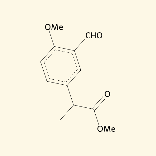 COC(=O)C(C)c1ccc(OC)c(C=O)c1